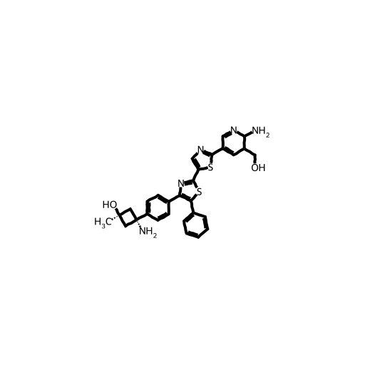 C[C@]1(O)C[C@@](N)(c2ccc(-c3nc(-c4cnc(C5=CC(CO)C(N)N=C5)s4)sc3-c3ccccc3)cc2)C1